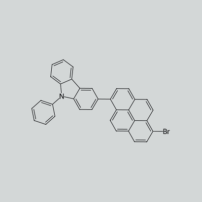 Brc1ccc2ccc3c(-c4ccc5c(c4)c4ccccc4n5-c4ccccc4)ccc4ccc1c2c43